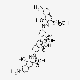 Nc1ccc2cc(SOOO)c(N=Nc3ccc(C=Cc4ccc(N=Nc5c(S(=O)(=O)O)cc6ccc(N)cc6c5O)cc4S(=O)(=O)O)c(S(=O)(=O)O)c3)c(O)c2c1